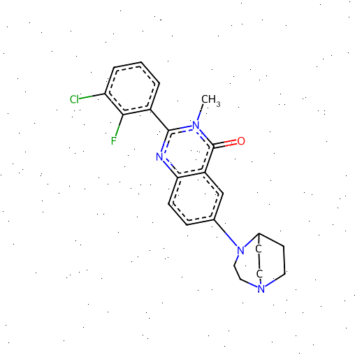 Cn1c(-c2cccc(Cl)c2F)nc2ccc(N3CCN4CCC3CC4)cc2c1=O